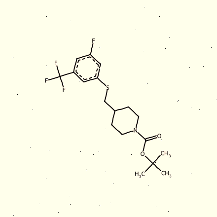 CC(C)(C)OC(=O)N1CCC(CSc2cc(F)cc(C(F)(F)F)c2)CC1